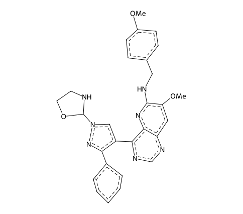 COc1ccc(CNc2nc3c(-c4cn(C5NCCO5)nc4-c4ccccc4)ncnc3cc2OC)cc1